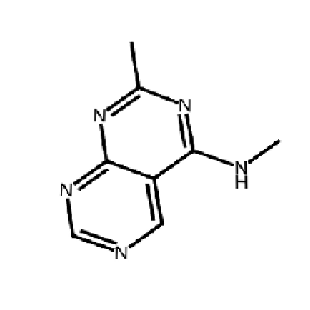 CNc1nc(C)nc2ncncc12